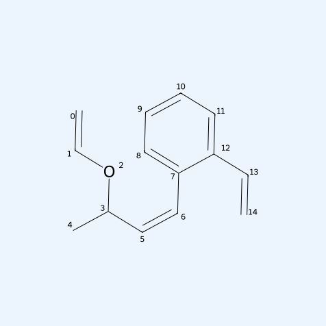 C=COC(C)/C=C\c1ccccc1C=C